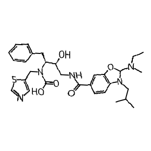 CCN(C)C1Oc2cc(C(=O)NC[C@H](O)[C@H](Cc3ccccc3)N(Cc3cncs3)C(=O)O)ccc2N1CC(C)C